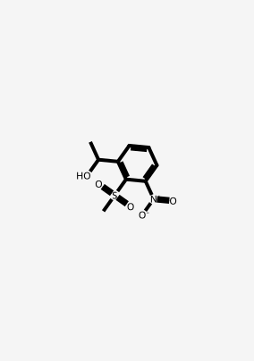 CC(O)c1cccc([N+](=O)[O-])c1S(C)(=O)=O